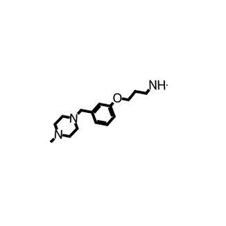 CN1CCN(Cc2cccc(OCCC[NH])c2)CC1